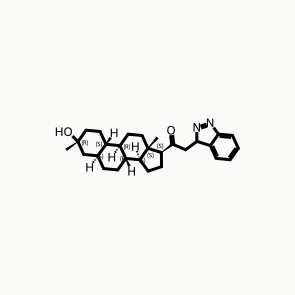 C[C@@]1(O)CC[C@H]2[C@@H](CC[C@@H]3[C@@H]2CC[C@]2(C)[C@@H](C(=O)CC4N=Nc5ccccc54)CC[C@@H]32)C1